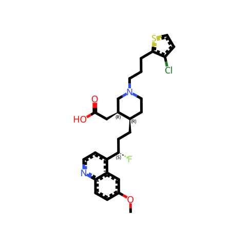 COc1ccc2nccc([C@@H](F)CC[C@@H]3CCN(CCCc4sccc4Cl)C[C@@H]3CC(=O)O)c2c1